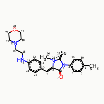 Cc1ccc(N2C(=O)C(=Cc3ccc(NCCN4CCOCC4)cc3)N(C)C2=[Se])cc1